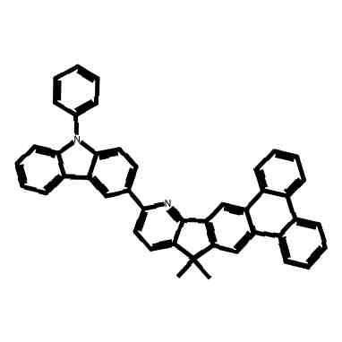 CC1(C)c2cc3c4ccccc4c4ccccc4c3cc2-c2nc(-c3ccc4c(c3)c3ccccc3n4-c3ccccc3)ccc21